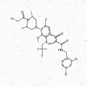 COc1c(N2CC(C)N(C(=O)CCl)C(C)C2)c(F)cc2c(=O)c(C(=O)NCc3ccc(Cl)cc3Cl)cn(CC(F)(F)F)c12